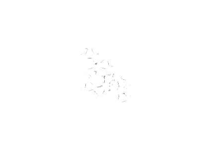 c1ccc(-c2ccc3c(c2)c2c(-c4nc(-c5cccc6c5oc5ccccc56)c5sc6ccccc6c5n4)cccc2n3-c2ccccc2)cc1